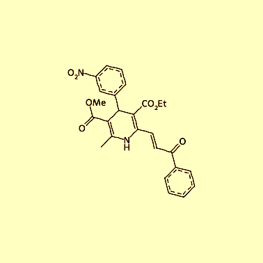 CCOC(=O)C1=C(C=CC(=O)c2ccccc2)NC(C)=C(C(=O)OC)C1c1cccc([N+](=O)[O-])c1